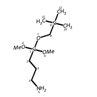 CO[Si](CCCN)(OC)OC[Si](C)(C)C